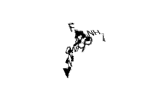 NC(=O)[C@@H]1C[C@@H](F)CN1C(=O)CNC(=O)N1CCN(CC2CC2)CC1